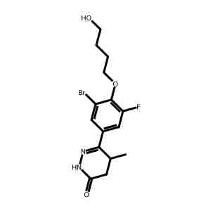 CC1CC(=O)NN=C1c1cc(F)c(OCCCCO)c(Br)c1